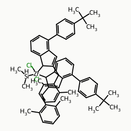 Cc1cccc(C)c1CC1=Cc2c(-c3ccc(C(C)(C)C)cc3)cccc2[CH]1[Zr]([Cl])([Cl])([CH]1C(Cc2c(C)cccc2C)=Cc2c(-c3ccc(C(C)(C)C)cc3)cccc21)[SiH](C)C